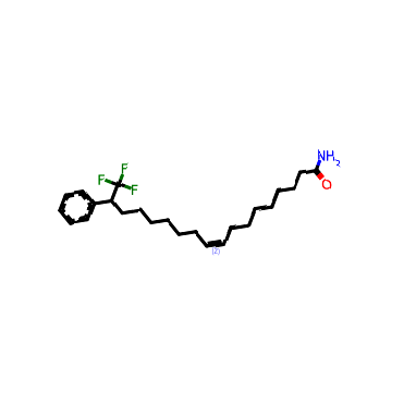 NC(=O)CCCCCCC/C=C\CCCCCCC(c1ccccc1)C(F)(F)F